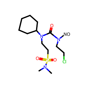 CN(C)S(=O)(=O)CCN(C(=O)N(CCCl)N=O)C1CCCCC1